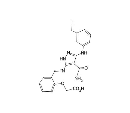 NC(=O)c1c(Nc2cccc(CI)c2)n[nH]c1/N=C/c1ccccc1OCC(=O)O